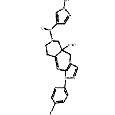 CCCn1cc([S+]([O-])N2CCC3=Cc4c(cnn4-c4ccc(F)cc4)CC3(C=O)C2)cn1